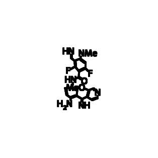 CNc1cc(F)c(C(=O)Nc2ccc(N)c(C(=N)c3ccncc3OC)c2)c(F)c1C=N